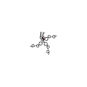 CCOCCOc1ccc(S(OS(=O)(=O)CC(F)(F)F)(c2ccc(OCCOCC)cc2)c2ccc(OCCOCC)cc2)cc1